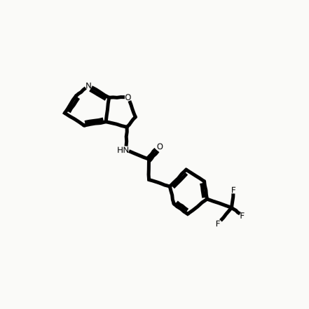 O=C(Cc1ccc(C(F)(F)F)cc1)NC1COc2ncccc21